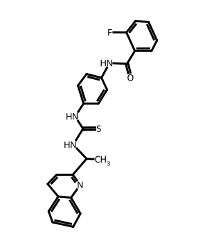 CC(NC(=S)Nc1ccc(NC(=O)c2ccccc2F)cc1)c1ccc2ccccc2n1